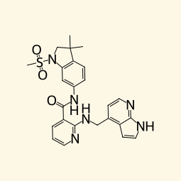 CC1(C)CN(S(C)(=O)=O)c2cc(NC(=O)c3cccnc3NCc3ccnc4[nH]ccc34)ccc21